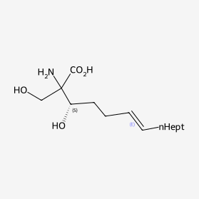 CCCCCCC/C=C/CC[C@H](O)C(N)(CO)C(=O)O